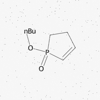 CCCCOP1(=O)C=CCC1